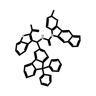 C=C(C)c1sc2ccccc2c1C(NC(=C)n1c2c(c3cc4ccccc4cc31)CC(C)C=C2)c1ccc2c(c1)-c1ccccc1C2(c1ccccc1)c1ccccc1